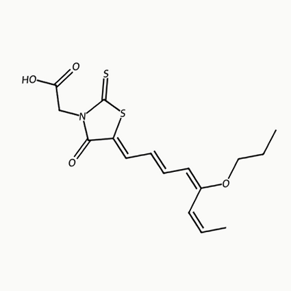 C\C=C/C(=C\C=C\C=C1/SC(=S)N(CC(=O)O)C1=O)OCCC